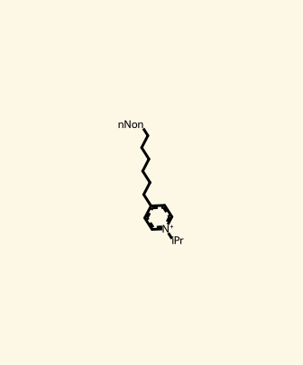 CCCCCCCCCCCCCCCc1cc[n+](C(C)C)cc1